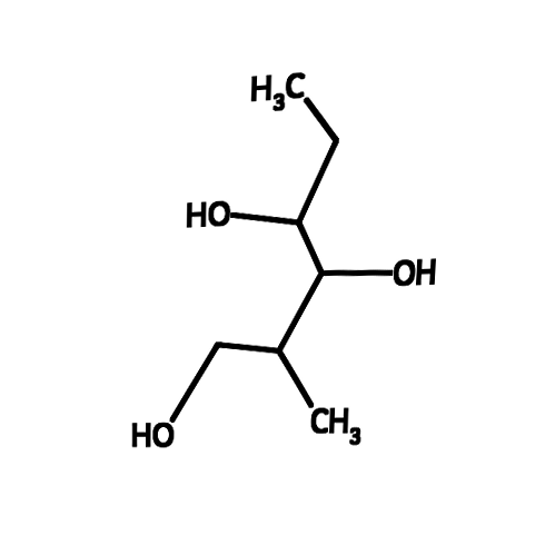 CCC(O)C(O)C(C)CO